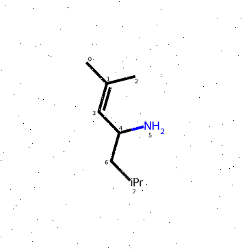 CC(C)=CC(N)CC(C)C